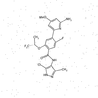 COc1cc(N)nc(-c2cc(O[C@@H](C)C(F)(F)F)c(C(=O)Nc3c(C)n[nH]c3Cl)cc2F)c1